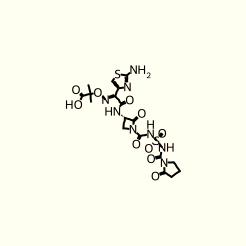 CC(C)(ON=C(C(=O)N[C@H]1CN(C(=O)NS(=O)(=O)NC(=O)N2CCCC2=O)C1=O)c1csc(N)n1)C(=O)O